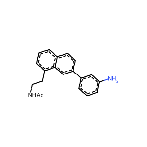 CC(=O)NCCc1cccc2ccc(-c3cccc(N)c3)cc12